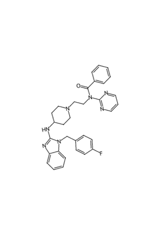 O=C(c1ccccc1)N(CCN1CCC(Nc2nc3ccccc3n2Cc2ccc(F)cc2)CC1)c1ncccn1